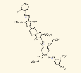 O=C(O)c1nn(-c2ccc3c(O)c(/N=N/c4cc(OCCO)c(/N=N/c5ccc([N+](=O)[O-])cc5S(=O)(=O)O)cc4OCCO)c(S(=O)(=O)O)cc3c2)c(O)c1/N=N/c1ccccc1F